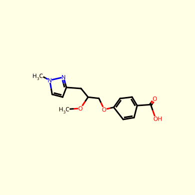 COC(COc1ccc(C(=O)O)cc1)Cc1ccn(C)n1